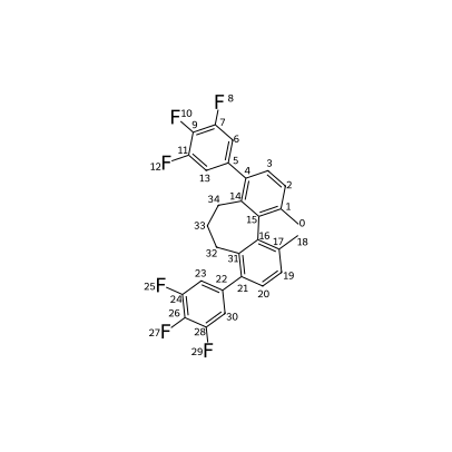 Cc1ccc(-c2cc(F)c(F)c(F)c2)c2c1-c1c(C)ccc(-c3cc(F)c(F)c(F)c3)c1CCC2